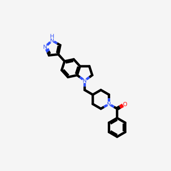 O=C(c1ccccc1)N1CCC(CN2CCc3cc(-c4cn[nH]c4)ccc32)CC1